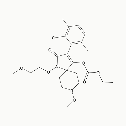 CCOC(=O)OC1=C(c2c(C)ccc(C)c2Cl)C(=O)N(OCCOC)C12CCN(OC)CC2